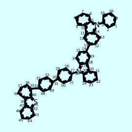 c1ccc(-n2c3ccccc3c3cc(-c4ccc5c(c4)c4ccccc4n5-c4ccc(-c5ccc(-c6cccc7c6sc6ccccc67)cc5)cc4)ccc32)cc1